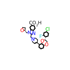 O=C(O)c1ccc2nc(CN3CC=C(c4cccc5c4O[C@H](c4ccc(Cl)cc4F)CO5)CC3)n(C[C@@H]3CCO3)c2c1